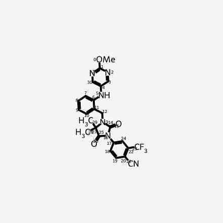 COc1ncc(Nc2ccccc2CN2C(=O)N(c3ccc(C#N)c(C(F)(F)F)c3)C(=O)C2(C)C)cn1